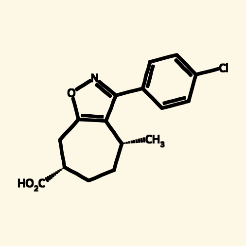 C[C@@H]1CC[C@H](C(=O)O)Cc2onc(-c3ccc(Cl)cc3)c21